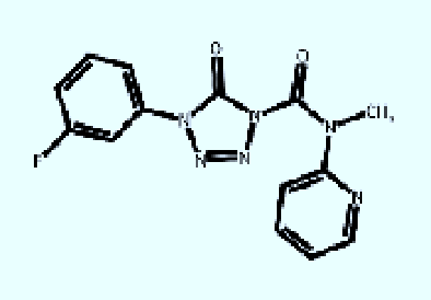 CN(C(=O)n1nnn(-c2cccc(F)c2)c1=O)c1ccccn1